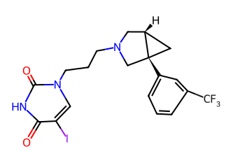 O=c1[nH]c(=O)n(CCCN2C[C@@H]3C[C@]3(c3cccc(C(F)(F)F)c3)C2)cc1I